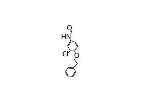 O=CNc1ccc(OCCc2ccccc2)c(Cl)c1